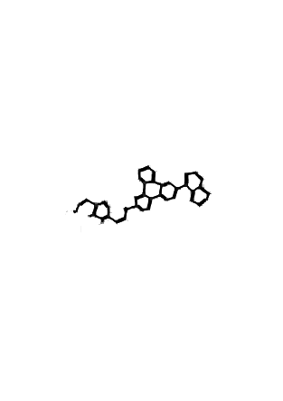 C=C/C=C\c1ccc(/C=C\C(=C)c2ccc3c4ccc(-c5cccc6ccccc56)cc4c4ccccc4c3c2)c(CC)c1C